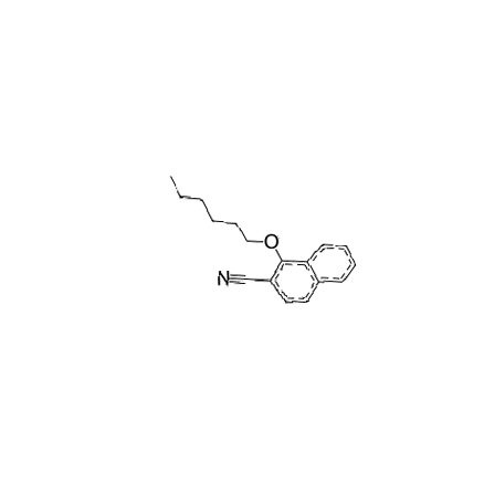 CCCCCCOc1c(C#N)ccc2ccccc12